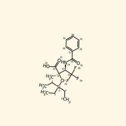 CC[Si](CC)(CC)O[C@@](C)(C(=O)O)[C@@H](NC(=O)c1ccccc1)C(F)(F)F